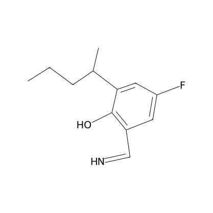 CCCC(C)c1cc(F)cc(C=N)c1O